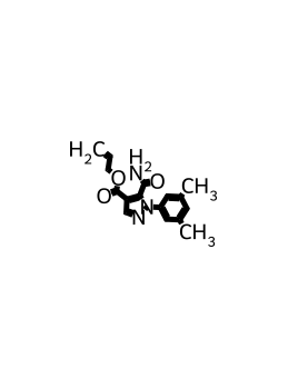 C=CCOC(=O)c1cnn(-c2cc(C)cc(C)c2)c1C(N)=O